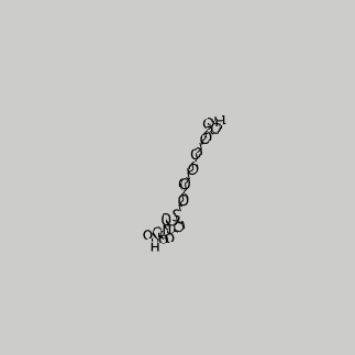 O=C(O)COCCOCCOCCOCCOCCSc1cccc2c1C(=O)N(C1CCC(=O)NC1=O)C2=O